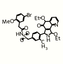 CCOC1NC(c2ccc(CS(=O)(=O)NC(=O)Cc3cc(Br)ccc3OC)cc2C)C2=C1c1ncccc1C(OCC)C2=O